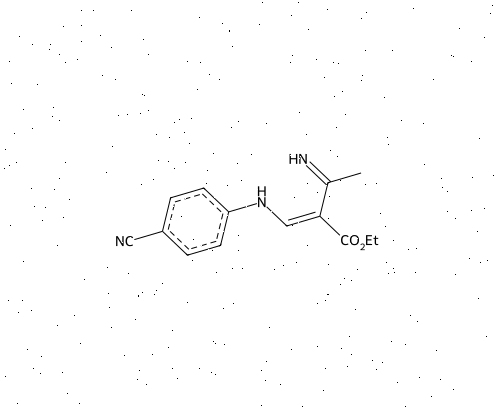 CCOC(=O)/C(=C/Nc1ccc(C#N)cc1)C(C)=N